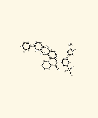 Cc1cn(-c2cc(N(C(=O)C3CCCCC3)c3ccc(C)c(Nc4nccc(-c5cccnc5)n4)c3)cc(C(F)(F)F)c2)cn1